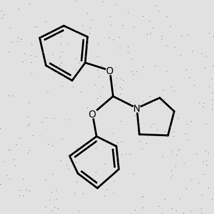 c1ccc(OC(Oc2ccccc2)N2CCCC2)cc1